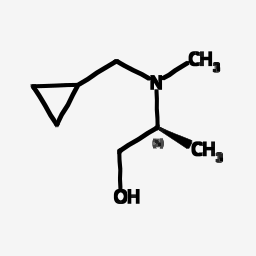 C[C@@H](CO)N(C)CC1CC1